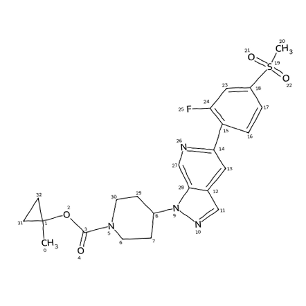 CC1(OC(=O)N2CCC(n3ncc4cc(-c5ccc(S(C)(=O)=O)cc5F)ncc43)CC2)CC1